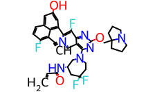 C#Cc1c(F)ccc2cc(O)cc(-c3ncc4c(N5CCC(F)(F)C[C@H](NC(=O)C=C)C5)nc(OCC56CCCN5CCC6)nc4c3F)c12